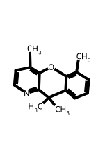 Cc1cccc2c1Oc1c(C)ccnc1C2(C)C